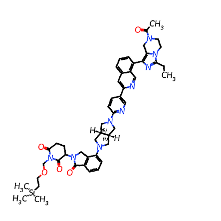 CCc1nc(-c2cccc3cc(-c4ccc(N5C[C@@H]6CN(c7cccc8c7CN(C7CCC(=O)N(COCC[Si](C)(C)C)C7=O)C8=O)C[C@@H]6C5)nc4)ncc23)c2n1CCN(C(C)=O)C2